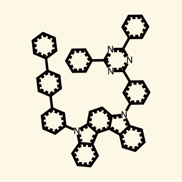 c1ccc(-c2ccc(-c3cccc(-n4c5ccccc5c5c6c7ccccc7n(-c7cccc(-c8nc(-c9ccccc9)nc(-c9ccccc9)n8)c7)c6ccc54)c3)cc2)cc1